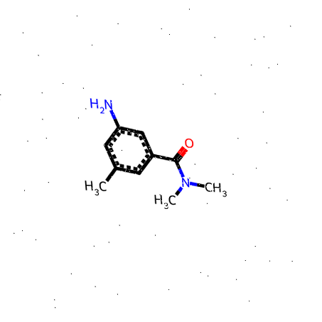 Cc1cc(N)cc(C(=O)N(C)C)c1